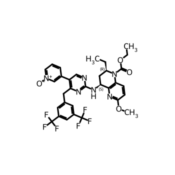 CCOC(=O)N1c2ccc(OC)nc2[C@@H](Nc2ncc(-c3ccc[n+]([O-])c3)c(Cc3cc(C(F)(F)F)cc(C(F)(F)F)c3)n2)C[C@H]1CC